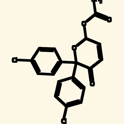 NC(=O)OC1C=CC(=O)C(c2ccc(Cl)cc2)(c2ccc(Cl)cc2)O1